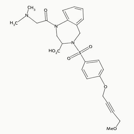 COCC#CCOc1ccc(S(=O)(=O)N2Cc3ccccc3N(C(=O)CN(C)C)CC2C(=O)O)cc1